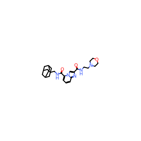 O=C(NCCN1CCOCC1)c1cn2c(C(=O)NCC34CC5CC(CC(C5)C3)C4)cccc2n1